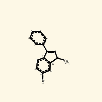 CC1C=C(c2ccccc2)c2ccc(Br)cc21